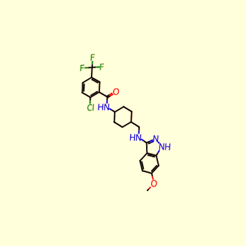 COc1ccc2c(NCC3CCC(NC(=O)c4cc(C(F)(F)F)ccc4Cl)CC3)n[nH]c2c1